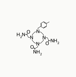 Cc1ccc(CN2CCN(CC(N)=O)CCN(CC(N)=O)CCN(CC(N)=O)CC2)cc1